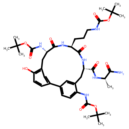 C[C@H](NC(=O)[C@@H]1Cc2cc(ccc2NC(=O)OC(C)(C)C)-c2ccc(O)c(c2)C[C@H](NC(=O)OC(C)(C)C)C(=O)N[C@@H](CCCNC(=O)OC(C)(C)C)C(=O)N1)C(N)=O